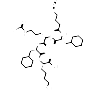 [N-]=[N+]=NCCCC(=O)N[C@H](CC1CCCCC1)C(=O)N[C@@H](CCCNC(=N)N)C(=O)N[C@H](CC1CCCCC1)C(=O)N[C@H](CCCCN)C(N)=O